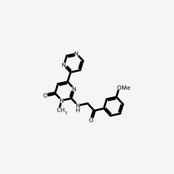 COc1cccc(C(=O)CNc2nc(-c3ccncn3)cc(=O)n2C)c1